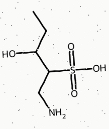 CCC(O)C(CN)S(=O)(=O)O